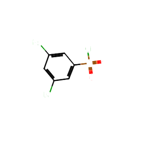 O=S(=O)(Cl)c1cc(Br)cc(Br)c1